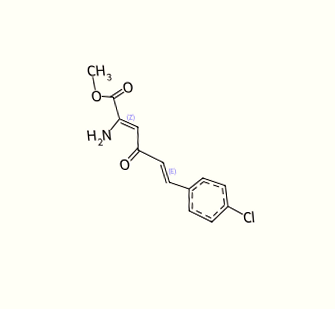 COC(=O)/C(N)=C/C(=O)/C=C/c1ccc(Cl)cc1